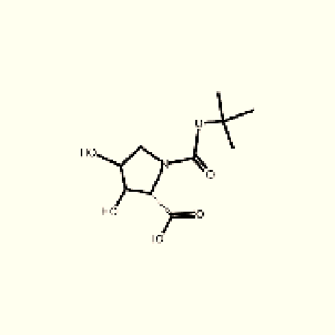 CC(C)(C)OC(=O)N1CC(O)C(O)[C@H]1C(=O)O